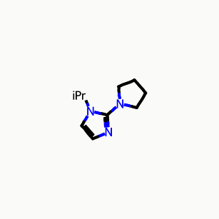 CC(C)n1ccnc1N1CCCC1